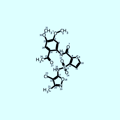 COc1cc(NC(=O)c2sccc2S(=O)(=O)Nc2onc(C)c2Cl)c(C(C)=O)cc1OC